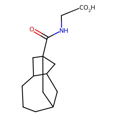 O=C(O)CNC(=O)C12CC3CCCC(C1)C(C3)C2